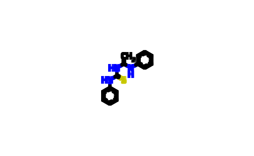 C=C(NC(=S)Nc1ccccc1)Nc1ccccc1